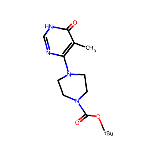 Cc1c(N2CCN(C(=O)OC(C)(C)C)CC2)nc[nH]c1=O